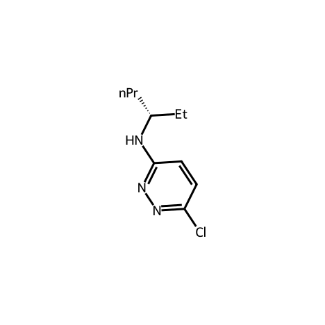 CCC[C@H](CC)Nc1ccc(Cl)nn1